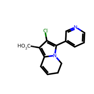 O=C(O)c1c(Cl)c(-c2cccnc2)n2c1C=CCC2